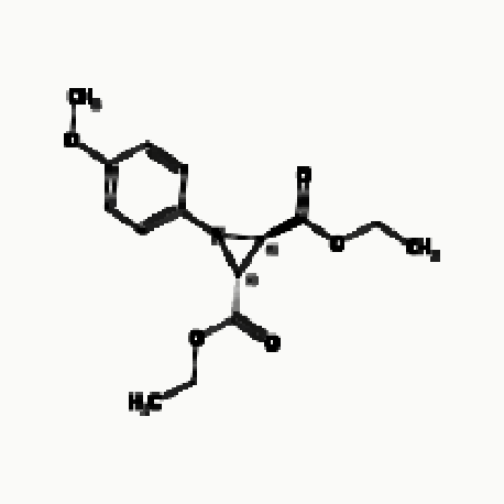 CCOC(=O)[C@H]1[C@H](C(=O)OCC)N1c1ccc(OC)cc1